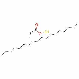 CCC(=O)OS.CCCCCCCCCCCCCCCCCC